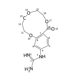 N=C(N)Nc1ccc2c(c1)OCCCOCCOC2=O